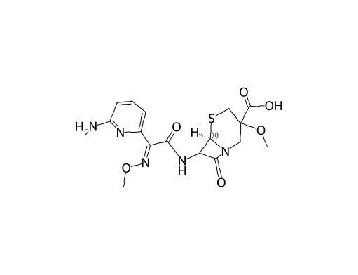 CON=C(C(=O)NC1C(=O)N2CC(OC)(C(=O)O)CS[C@H]12)c1cccc(N)n1